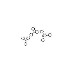 c1ccc(-c2cc(-c3ccccc3)nc(-c3cccc(-c4ccc5c(c4)c4ccccc4n5-c4ccc(-c5ccc6c(c5)c5ccccc5n6-c5ccccc5)cc4)c3)n2)cc1